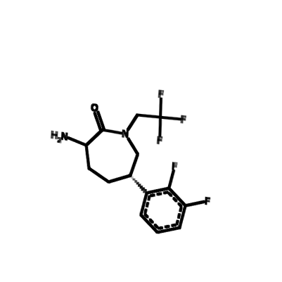 NC1CC[C@@H](c2cccc(F)c2F)CN(CC(F)(F)F)C1=O